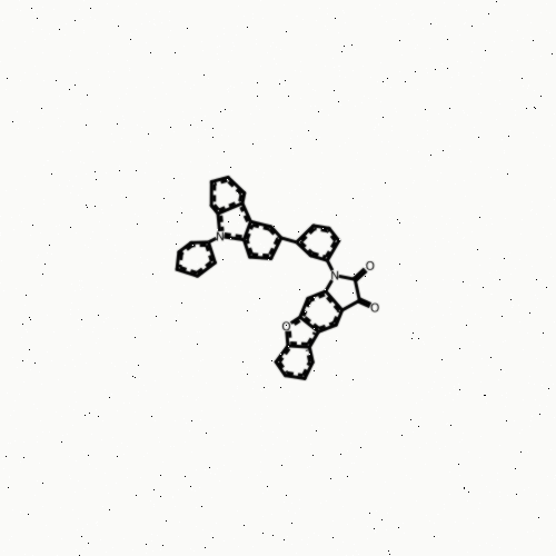 O=C1C(=O)N(c2cccc(-c3ccc4c(c3)c3ccccc3n4-c3ccccc3)c2)c2cc3oc4ccccc4c3cc21